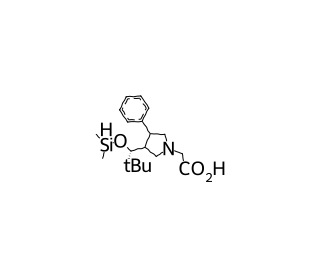 C[SiH](C)O[C@H](C1CN(CC(=O)O)CC1c1ccccc1)C(C)(C)C